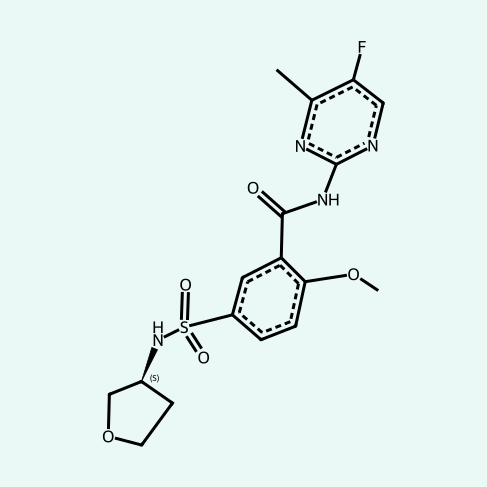 COc1ccc(S(=O)(=O)N[C@H]2CCOC2)cc1C(=O)Nc1ncc(F)c(C)n1